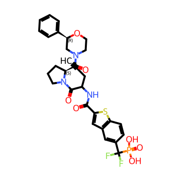 C#CCC(NC(=O)c1cc2cc(C(F)(F)P(=O)(O)O)ccc2s1)C(=O)N1CCC[C@H]1C(=O)N1CCO[C@H](c2ccccc2)C1